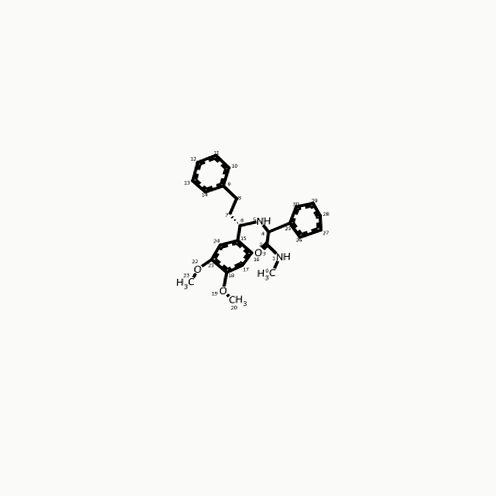 CNC(=O)C(N[C@@H](CCc1ccccc1)c1ccc(OC)c(OC)c1)c1ccccc1